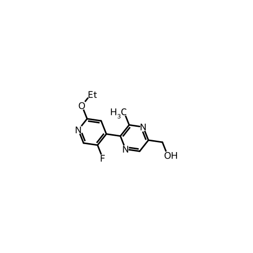 CCOc1cc(-c2ncc(CO)nc2C)c(F)cn1